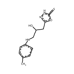 Cc1ccc(NCC(O)Cc2n[nH]c(=S)o2)cc1